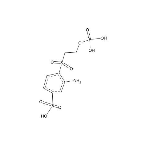 Nc1cc(S(=O)(=O)O)ccc1S(=O)(=O)CCOP(=O)(O)O